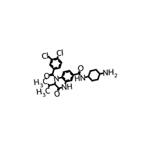 CC(C)C1C(=O)Nc2cc(C(=O)NC3CCC(N)CC3)ccc2N1C(=O)c1ccc(Cl)c(Cl)c1